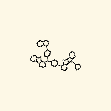 c1ccc(-n2c3ccccc3c3sc4c(-c5ccc(N(c6ccc(-c7cccc8ccccc78)cc6)c6cccc7c6sc6ccccc67)cc5)cccc4c32)cc1